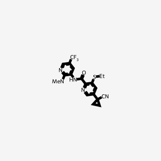 CCSc1cc(C2(C#N)CC2)cnc1C(=O)Nc1cc(C(F)(F)F)cnc1NC